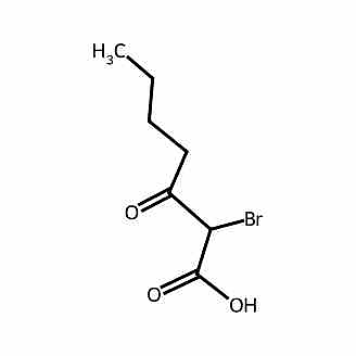 CCCCC(=O)C(Br)C(=O)O